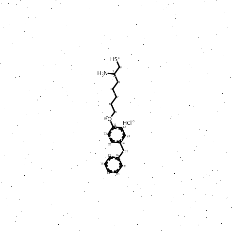 Cl.NC(CS)CCCCCOc1ccc(Cc2ccccc2)cc1